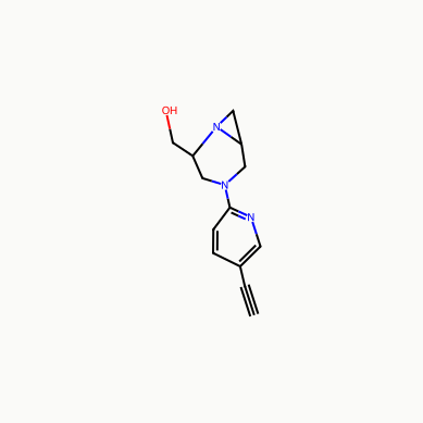 C#Cc1ccc(N2CC(CO)N3CC3C2)nc1